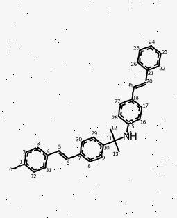 Cc1ccc(/C=C/c2ccc(C(C)(C)Nc3ccc(/C=C/c4ccccc4)cc3)cc2)cc1